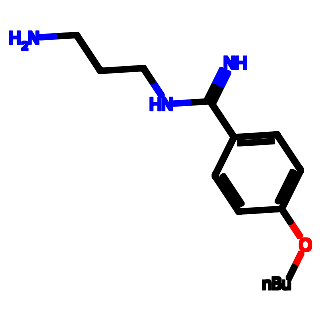 CCCCOc1ccc(C(=N)NCCCN)cc1